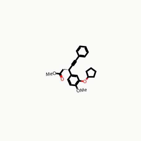 COC(=O)C[C@H](C#Cc1ccccc1)c1ccc(OC)c(OC2CCCC2)c1